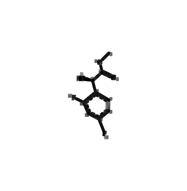 COC(=O)[C@H](O)c1ccc(F)cc1F